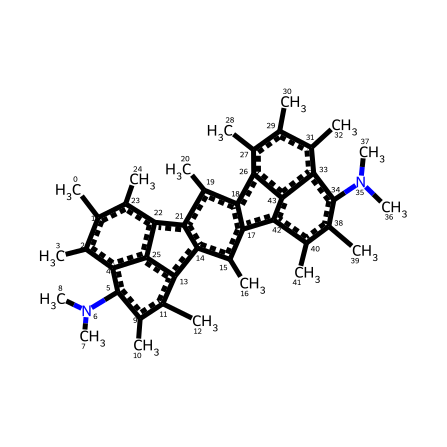 Cc1c(C)c2c(N(C)C)c(C)c(C)c3c4c(C)c5c(c(C)c4c(c1C)c23)c1c(C)c(C)c(C)c2c(N(C)C)c(C)c(C)c5c21